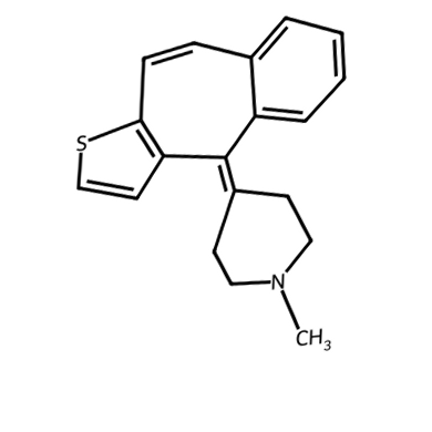 CN1CCC(=C2c3ccccc3C=Cc3sccc32)CC1